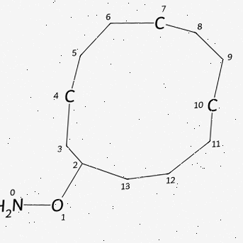 NOC1CCCCCCCCCCC1